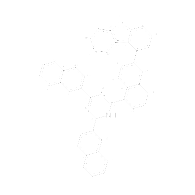 c1ccc2cc(C3=NC(c4ccc5ccccc5c4)NC(c4cccc5cc(-c6cccc7oc8ccncc8c67)ccc45)=N3)ccc2c1